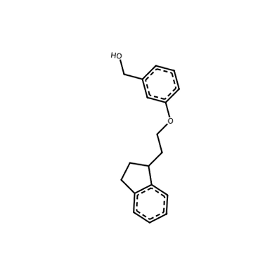 OCc1cccc(OCCC2CCc3ccccc32)c1